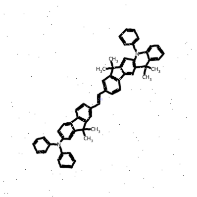 CC1(C)c2cc(/C=C/c3ccc4c(c3)C(C)(C)c3cc5c(cc3-4)C(C)(C)c3ccccc3N5c3ccccc3)ccc2-c2ccc(N(c3ccccc3)c3ccccc3)cc21